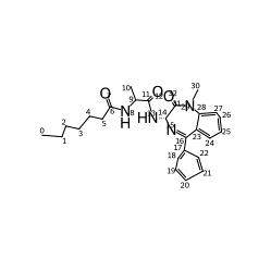 CCCCCCC(=O)NC(C)C(=O)N[C@H]1N=C(c2ccccc2)c2ccccc2N(C)C1=O